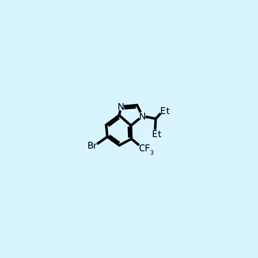 CCC(CC)n1cnc2cc(Br)cc(C(F)(F)F)c21